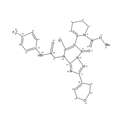 CCc1c(C2=CCCCN2C(=O)OC(C)(C)C)c(=O)n2nc(C3=CCOCC3)nc2n1CC(=O)Nc1ccc(C(F)(F)F)cc1